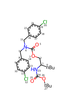 CCCCC(COC(=O)N(Cc1ccc(Cl)cc1)Cc1ccc(Cl)cc1)NC(=O)OC(C)(C)C